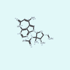 CC(=O)OC[C@H]1O[C@@H](n2cc3c4c(ncnc42)NC(=O)C=C3N)C(C)(OC(=O)C(C)C)[C@@H]1OC(C)=O